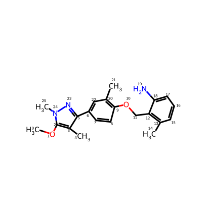 COc1c(C)c(-c2ccc(OCc3c(C)cccc3N)c(C)c2)nn1C